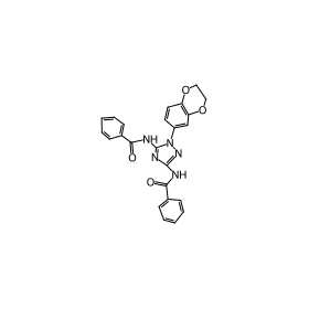 O=C(Nc1nc(NC(=O)c2ccccc2)n(-c2ccc3c(c2)OCCO3)n1)c1ccccc1